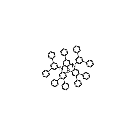 c1ccc(-c2cc(-c3ccccc3)cc(N3c4cc(-c5ccccc5)c(-c5ccccc5)cc4B4c5cc(-c6ccccc6)c(-c6ccccc6)cc5N(c5cc(-c6ccccc6)cc(-c6ccccc6)c5)c5cc(-c6ccccc6)cc3c54)c2)cc1